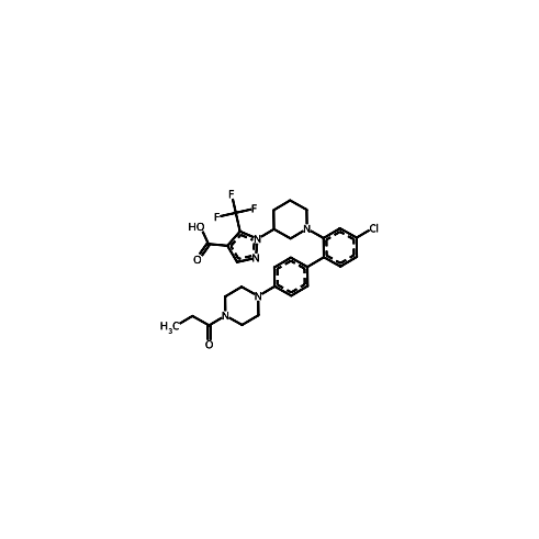 CCC(=O)N1CCN(c2ccc(-c3ccc(Cl)cc3N3CCCC(n4ncc(C(=O)O)c4C(F)(F)F)C3)cc2)CC1